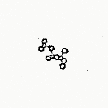 c1ccc(-n2c3cc4c(cc3c3c5ccccc5ccc32)c2ccccc2n4-c2cccc(-n3c4ccccc4c4ccccc43)c2)cc1